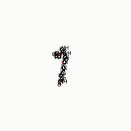 CS(=O)(=O)N1CCc2cccc(Nc3nc(Nc4ccc(N5CCC(N6CCN(CCc7ccc(C8CCC(=O)NC8=O)cc7F)CC6)CC5)c(F)c4)nc4[nH]ccc34)c21